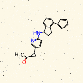 CC(=O)C1CC1c1ccc(NC2CCc3c(-c4ccccc4)cccc32)nc1